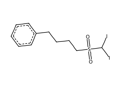 O=S(=O)(CCCCc1ccccc1)C(I)I